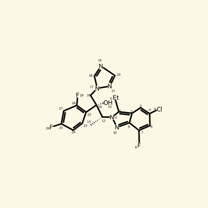 CCc1c2cc(Cl)cc(F)c2nn1[C@H](C)[C@](O)(Cn1cncn1)c1ccc(F)cc1F